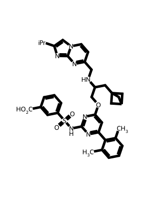 Cc1cccc(C)c1-c1cc(OCC(CC23CC(C2)C3)NCc2ccn3cc(C(C)C)nc3n2)nc(NS(=O)(=O)c2cccc(C(=O)O)c2)n1